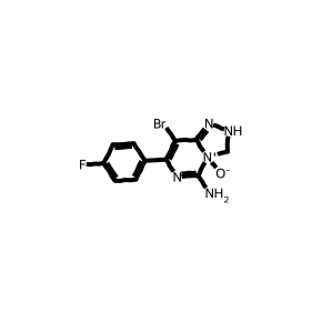 NC1=NC(c2ccc(F)cc2)=C(Br)C2=NNC[N+]12[O-]